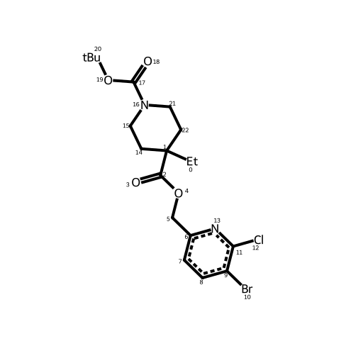 CCC1(C(=O)OCc2ccc(Br)c(Cl)n2)CCN(C(=O)OC(C)(C)C)CC1